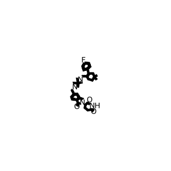 CC1(C)CCC(CN2CC3(C2)CN(Cc2ccc4c(c2)CN(C2CCC(=O)NC2=O)C4=O)C3)=C(c2ccc(F)cc2)C1